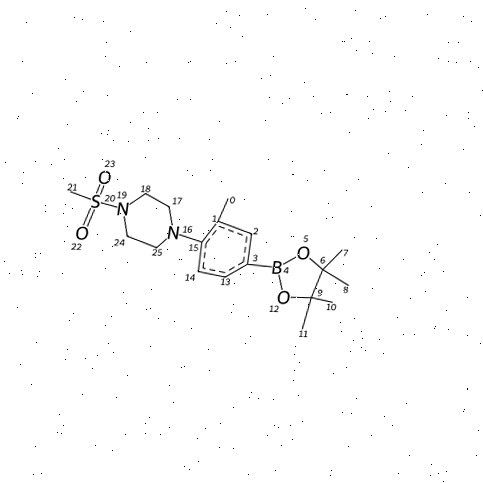 Cc1cc(B2OC(C)(C)C(C)(C)O2)ccc1N1CCN(S(C)(=O)=O)CC1